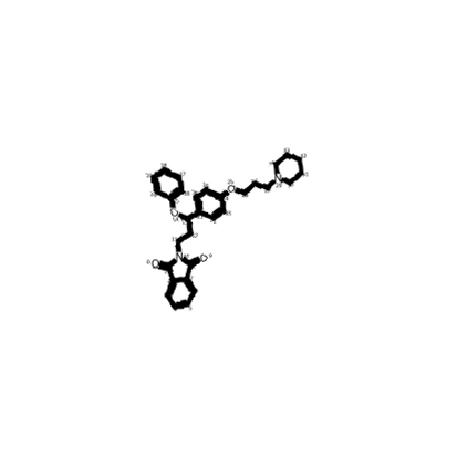 O=C1c2ccccc2C(=O)N1CCC(Oc1ccccc1)c1ccc(OCCCN2CCCCC2)cc1